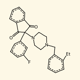 CCc1ccccc1CN1CCN(C2(c3cccc(F)c3)C(=O)c3ccccc3C2=O)CC1